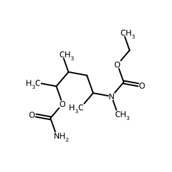 CCOC(=O)N(C)C(C)CC(C)C(C)OC(N)=O